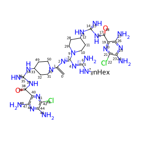 C=C(/N=C(\N=C(/N)NCCCCCC)N1CCC(NC(=N)NC(=O)c2nc(Cl)c(N)nc2N)CC1)N1CCC(NC(=N)NC(=O)c2nc(Cl)c(N)nc2N)CC1